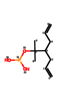 C=CCC(CC=C)C(C)(C)OP(O)O